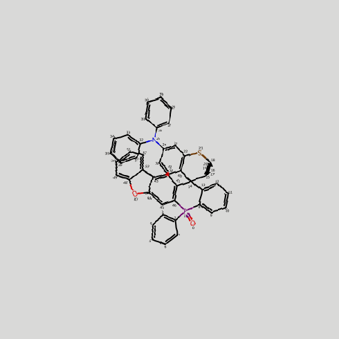 O=P1(c2ccccc2)c2ccccc2C2(c3ccccc3Sc3cc(N(c4ccccc4)c4ccccc4)ccc32)c2cc3c(cc21)oc1ccccc13